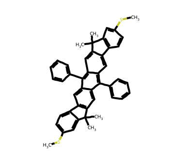 CSc1ccc2c(c1)C(C)(C)c1cc3c(-c4ccccc4)c4cc5c(cc4c(-c4ccccc4)c3cc1-2)C(C)(C)c1cc(SC)ccc1-5